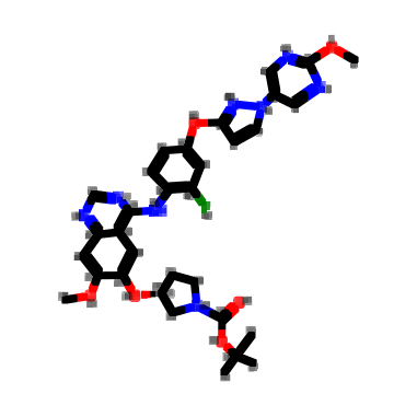 COc1ncc(-n2ccc(Oc3ccc(Nc4ncnc5cc(OC)c(O[C@@H]6CCN(C(=O)OC(C)(C)C)C6)cc45)c(F)c3)n2)cn1